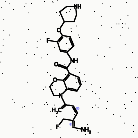 C=C(/C=C\C(=C/N)CF)N1CCOc2c(C(=O)Nc3ccc(OC4CCNCC4)c(F)c3)cccc21